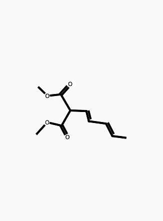 CC=CC=CC(C(=O)OC)C(=O)OC